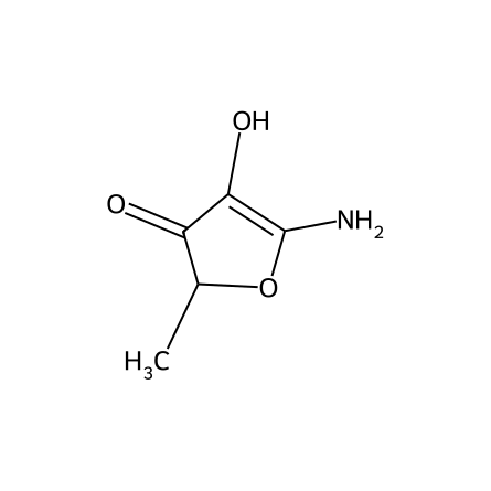 CC1OC(N)=C(O)C1=O